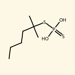 CCCCC(C)(C)SP(O)(O)=S